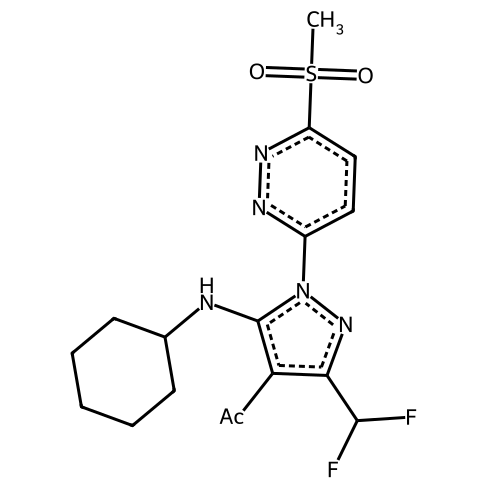 CC(=O)c1c(C(F)F)nn(-c2ccc(S(C)(=O)=O)nn2)c1NC1CCCCC1